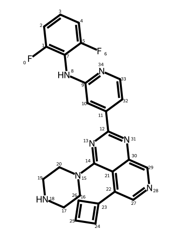 Fc1cccc(F)c1Nc1cc(-c2nc(N3CCNCC3)c3c(C4=CC=C4)cncc3n2)ccn1